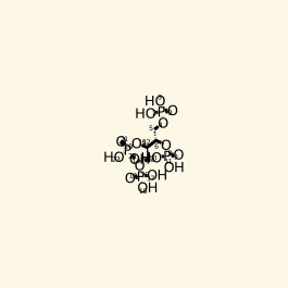 O=P(O)(O)OC[C@H](OP(=O)(O)O)[C@@H](COP(=O)(O)O)OP(=O)(O)O